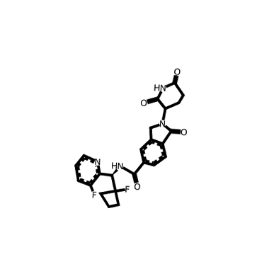 O=C1CCC(N2Cc3cc(C(=O)N[C@H](c4ncccc4F)C4(F)CCC4)ccc3C2=O)C(=O)N1